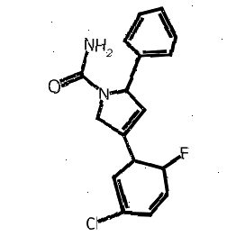 NC(=O)N1CC(C2C=C(Cl)C=CC2F)=CC1c1ccccc1